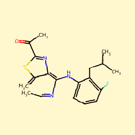 C=c1sc(C(C)=O)n/c1=C(/N=C\C)Nc1cccc(F)c1CC(C)C